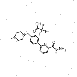 CN1CCN(Cc2ccc(-c3cccc(C(=O)NN)n3)cc2)CC1.O=C(O)C(F)(F)F